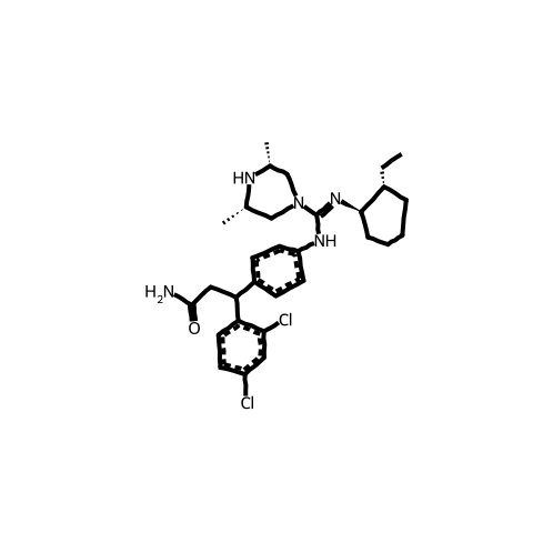 CC[C@@H]1CCCC[C@H]1/N=C(\Nc1ccc(C(CC(N)=O)c2ccc(Cl)cc2Cl)cc1)N1C[C@@H](C)N[C@@H](C)C1